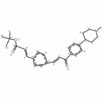 CN1CCC(c2ccc(C(=O)C=Cc3ccc(C=CC(=O)OC(C)(C)C)cc3)cc2)CC1